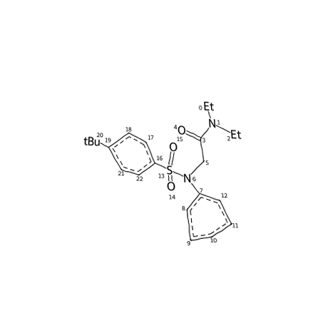 CCN(CC)C(=O)CN(c1ccccc1)S(=O)(=O)c1ccc(C(C)(C)C)cc1